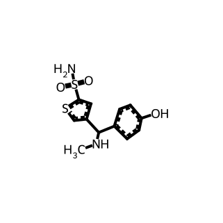 CNC(c1ccc(O)cc1)c1csc(S(N)(=O)=O)c1